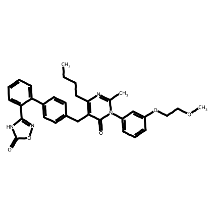 CCCCc1nc(C)n(-c2cccc(OCCOC)c2)c(=O)c1Cc1ccc(-c2ccccc2-c2noc(=O)[nH]2)cc1